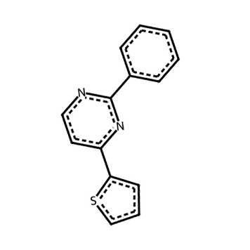 c1ccc(-c2nccc(-c3cccs3)n2)cc1